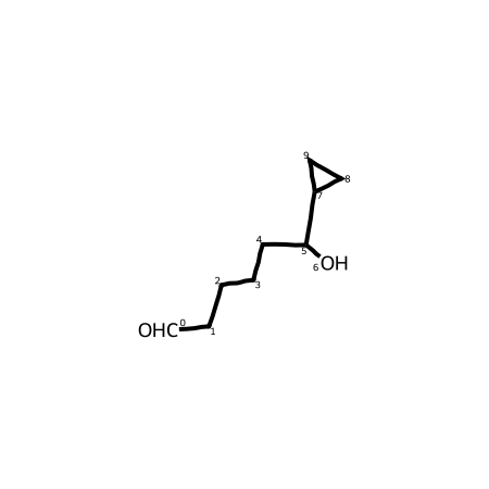 O=CCCCCC(O)C1CC1